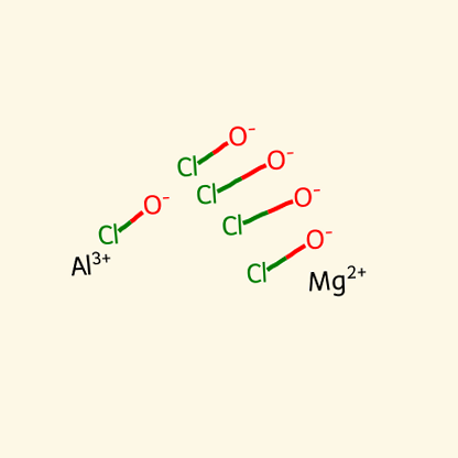 [Al+3].[Mg+2].[O-]Cl.[O-]Cl.[O-]Cl.[O-]Cl.[O-]Cl